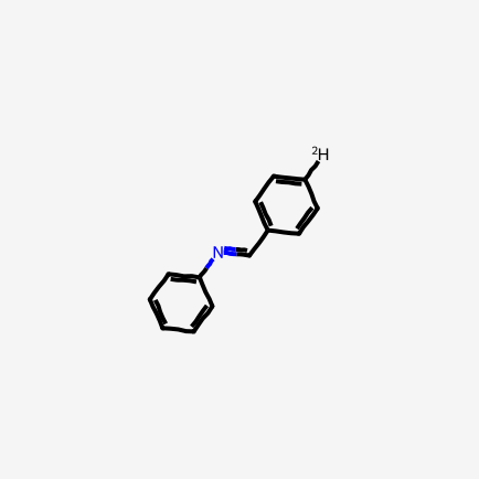 [2H]c1ccc(C=Nc2ccccc2)cc1